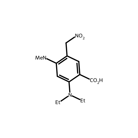 CCN(CC)c1cc(NC)c(C[N+](=O)[O-])cc1C(=O)O